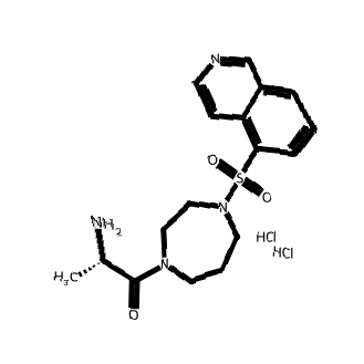 C[C@H](N)C(=O)N1CCCN(S(=O)(=O)c2cccc3cnccc23)CC1.Cl.Cl